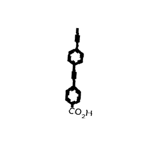 CC#Cc1ccc(C#Cc2ccc(C(=O)O)cc2)cc1